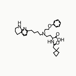 CC1(CC(=O)NC(CCN(CCCCc2ccc3c(n2)NCCC3)CCOc2ccccc2)C(=O)O)CCC1